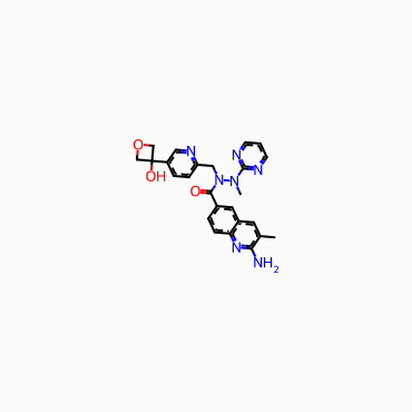 Cc1cc2cc(C(=O)N(Cc3ccc(C4(O)COC4)cn3)N(C)c3ncccn3)ccc2nc1N